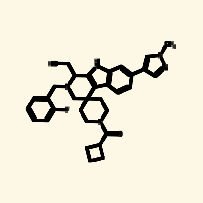 Cn1cc(-c2ccc3c4c([nH]c3c2)C(CO)N(Cc2ccccc2F)CC42CCN(C(=O)C3CCC3)CC2)cn1